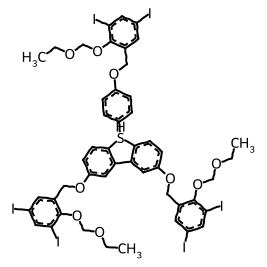 CCOCOc1c(I)cc(I)cc1COc1ccc([SH]2c3ccc(OCc4cc(I)cc(I)c4OCOCC)cc3-c3cc(OCc4cc(I)cc(I)c4OCOCC)ccc32)cc1